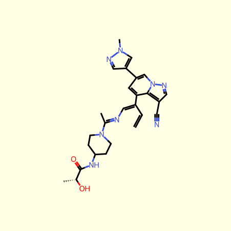 C=C/C(=C\N=C(/C)N1CCC(NC(=O)[C@@H](C)O)CC1)c1cc(-c2cnn(C)c2)cn2ncc(C#N)c12